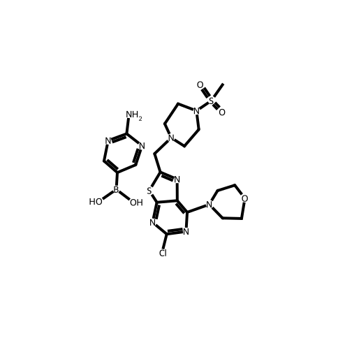 CS(=O)(=O)N1CCN(Cc2nc3c(N4CCOCC4)nc(Cl)nc3s2)CC1.Nc1ncc(B(O)O)cn1